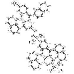 Cc1ccc2c(-c3ccc4ccccc4c3)c3cc(CC[Si](C)(C)c4ccc5c(-c6cccc7ccccc67)c6cc([Si](C)(C)C)ccc6c(-c6cccc7ccccc67)c5c4)ccc3c(-c3cccc4ccccc34)c2c1